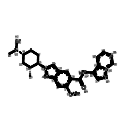 COc1cc2nn([C@@H]3CC[C@@H](N(C)C(C)=O)C[C@H]3C)cc2cc1C(=O)Nc1cnn2cnccc12